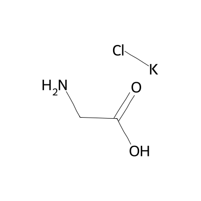 NCC(=O)O.[Cl][K]